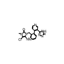 CCCCc1c(Cl)n(C)c(=O)n1Cc1ccccc1-c1ccncc1-c1nnn[nH]1